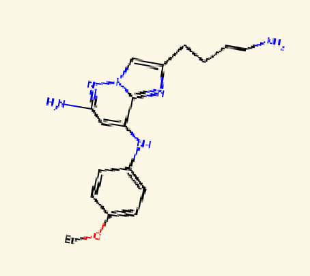 CCOc1ccc(Nc2cc(N)nn3cc(CCCCN)nc23)cc1